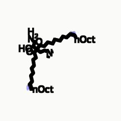 CCCCCCCC/C=C\CCCCCCCC(=O)C(CCN(C)C)(C(=O)CCCCCCC/C=C\CCCCCCCC)C(O)CN